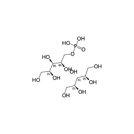 O=P(O)(O)OC[C@@H](O)[C@H](O)[C@@H](O)CO.OC[C@@H](O)[C@@H](O)[C@@H](O)CO